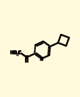 O=C(O)Nc1ccc(C2CCC2)cn1